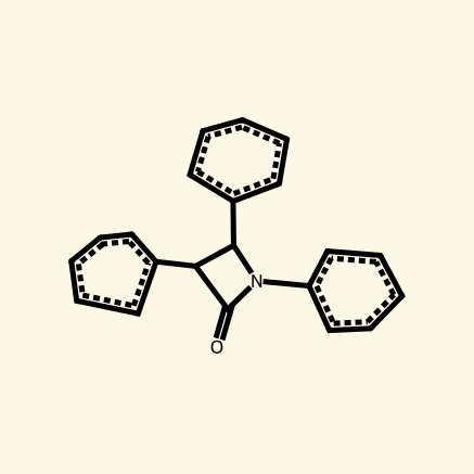 O=C1C(c2ccccc2)C(c2ccccc2)N1c1ccccc1